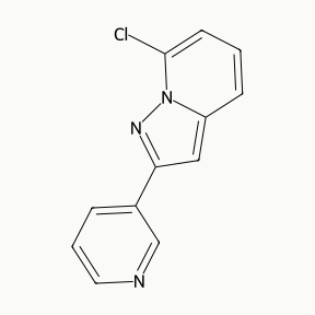 Clc1cccc2cc(-c3cccnc3)nn12